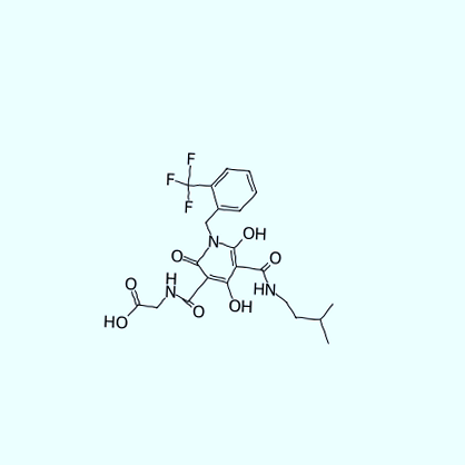 CC(C)CCNC(=O)c1c(O)c(C(=O)NCC(=O)O)c(=O)n(Cc2ccccc2C(F)(F)F)c1O